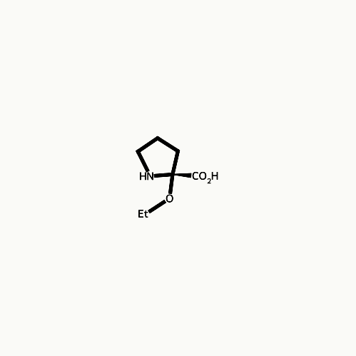 CCO[C@@]1(C(=O)O)CCCN1